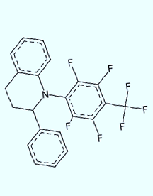 Fc1c(F)c(C(F)(F)F)c(F)c(F)c1N1c2ccccc2CCC1c1ccccc1